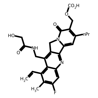 C=Cc1c(C)c(F)cc2nc3c(c(CNC(=O)CO)c12)Cn1c-3cc(CCC)c(COC(=O)O)c1=O